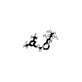 CC(C)(C(=O)O)c1cc2n(n1)CCCN(C(=O)OCc1cc(C(F)(F)F)cc(C(F)(F)F)c1)C2